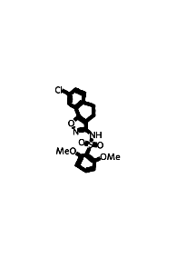 COc1cccc(OC)c1S(=O)(=O)Nc1noc2c1CCc1ccc(Cl)cc1-2